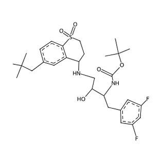 CC(C)(C)Cc1ccc2c(c1)C(NCC(O)C(Cc1cc(F)cc(F)c1)NC(=O)OC(C)(C)C)CCS2(=O)=O